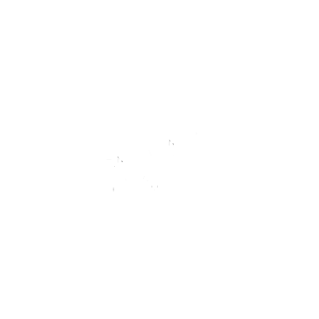 CC(C)=CCN1CCc2c(sc(N)c2C(=O)c2ccccc2)C1